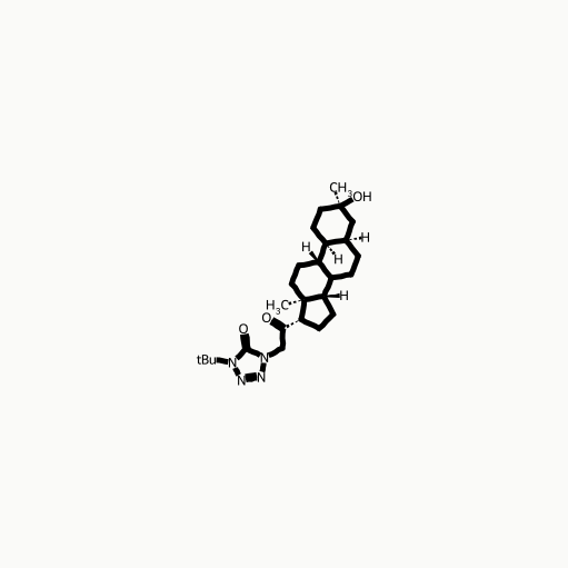 CC(C)(C)n1nnn(CC(=O)[C@H]2CC[C@H]3C4CC[C@@H]5C[C@](C)(O)CC[C@@H]5[C@H]4CC[C@]23C)c1=O